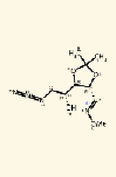 CO/N=C/[C@H]1OC(C)(C)O[C@@H]1[C@H](O)CN=[N+]=[N-]